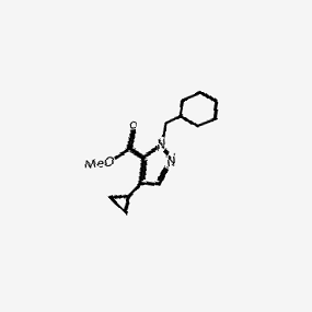 COC(=O)c1c(C2CC2)cnn1CC1CCCCC1